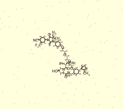 CC(=O)NC(C(=O)N1C[C@H](O)C[C@H]1C(=O)NCc1ccc(-c2scnc2C)cc1OCCOCCOCCOc1ccc(N2C(=S)N(c3ccc(C#N)c(C(F)(F)F)c3)C(=O)C2(C)C)cc1)C(C)C